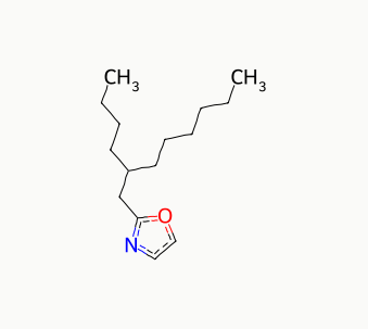 CCCCCCC(CCCC)Cc1ncco1